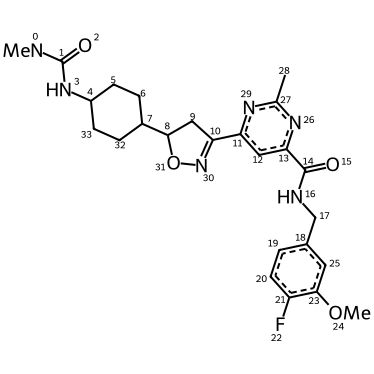 CNC(=O)NC1CCC(C2CC(c3cc(C(=O)NCc4ccc(F)c(OC)c4)nc(C)n3)=NO2)CC1